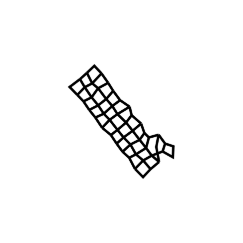 C1CC2C1C1CC3C4CC5C6C7C8C9C%10C%11C%12C%13C%14CC%15C%16CC%17C%18C%19C%20C%21C%22C%23C%24C1C1%25C23C45C61C71C%24%25C%232C81C91C%222C%212C%203C%194C%185C%16%17C%15%14C%135C%124C%113C%1021